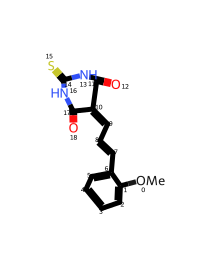 COc1ccccc1/C=C/C=C1C(=O)NC(=S)NC1=O